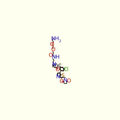 Cc1cc(Cl)cc(-c2ccnc3cc(CN4C(=O)CCC4=O)sc23)c1OC1CCN(CCCNC(=O)CCOCCOCCN)CC1